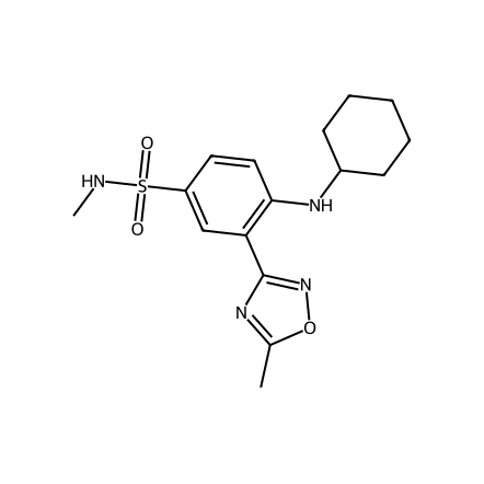 CNS(=O)(=O)c1ccc(NC2CCCCC2)c(-c2noc(C)n2)c1